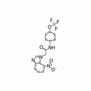 O=C(Cn1cnc2cccc([N+](=O)[O-])c21)Nc1ccc(OC(F)(F)F)cc1